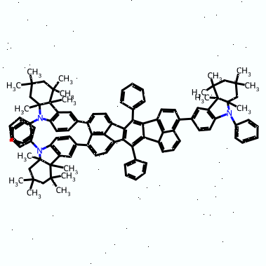 CC1(C)CC(C)(C)C2(C)c3cc(-c4ccc5c6c(-c7ccccc7)c7c8ccc(-c9ccc%10c(c9)C9(C)C(C)(C)CC(C)(C)CC9(C)N%10c9ccccc9)c9c(-c%10ccc%11c(c%10)C%10(C)C(C)(C)CC(C)(C)CC%10(C)N%11c%10ccccc%10)ccc(c7c(-c7ccccc7)c6c6cccc4c65)c98)ccc3N(c3ccccc3)C2(C)C1